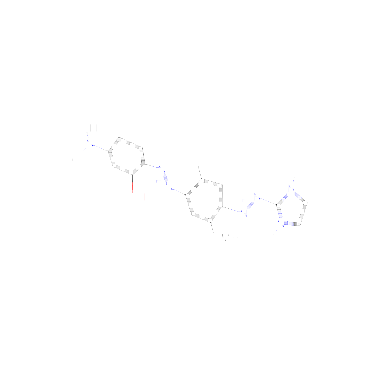 COc1cc(/N=N/c2ccc(N(C)C)cc2O)c(C)cc1/N=N/c1n(C)cc[n+]1C